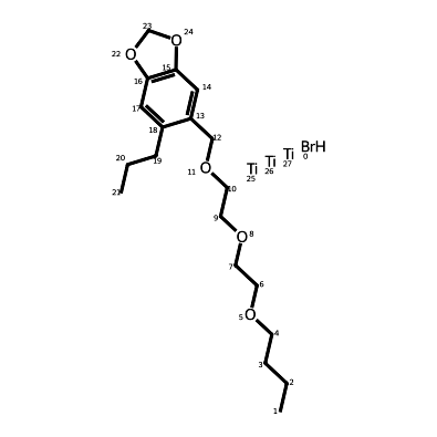 Br.CCCCOCCOCCOCc1cc2c(cc1CCC)OCO2.[Ti].[Ti].[Ti]